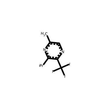 Cc1cnc(C(I)(I)I)c(C(C)C)n1